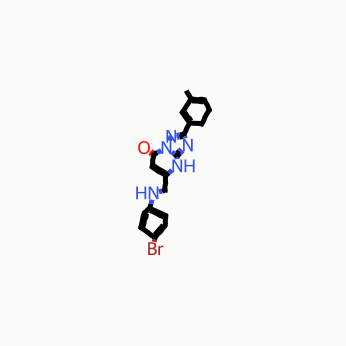 CC1=CCCC(c2nc3[nH]c(CNc4ccc(Br)cc4)cc(=O)n3n2)=C1